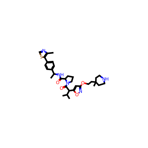 Cc1ncsc1-c1ccc(C(C)NC(=O)C2CCCN2C(=O)C(c2cc(OCCC3(C)CCNCC3)no2)C(C)C)cc1